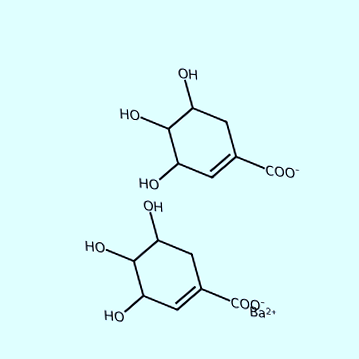 O=C([O-])C1=CC(O)C(O)C(O)C1.O=C([O-])C1=CC(O)C(O)C(O)C1.[Ba+2]